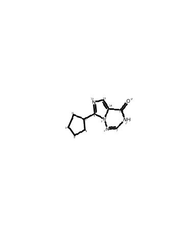 O=c1[nH]cnn2c(C3CCCC3)ncc12